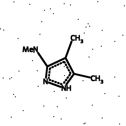 CNc1n[nH]c(C)c1C